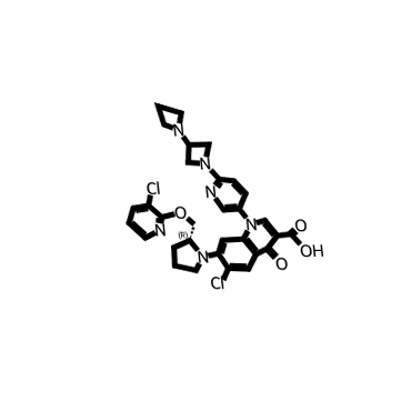 O=C(O)c1cn(-c2ccc(N3CC(N4CCC4)C3)nc2)c2cc(N3CCC[C@@H]3COc3ncccc3Cl)c(Cl)cc2c1=O